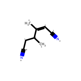 CC(=CC#N)C(C)CC#N